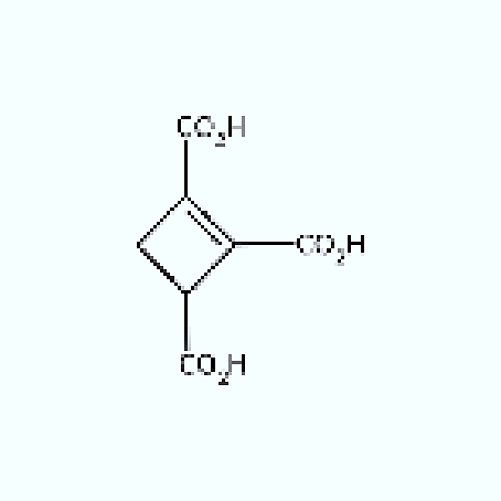 O=C(O)C1=C(C(=O)O)C(C(=O)O)C1